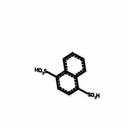 O=S(=O)(O)c1ccc(S(=O)(=O)O)c2cc[c]cc12